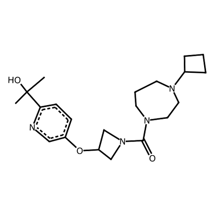 CC(C)(O)c1ccc(OC2CN(C(=O)N3CCCN(C4CCC4)CC3)C2)cn1